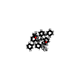 C[Si](C)(C)Sc1cccc(P(c2ccccc2)c2ccccc2)c1[O][Zr+2][O]c1c(S[Si](C)(C)C)cccc1P(c1ccccc1)c1ccccc1.[Cl-].[Cl-]